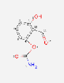 NC(=O)Oc1cccc(O)c1C=O